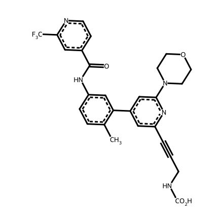 Cc1ccc(NC(=O)c2ccnc(C(F)(F)F)c2)cc1-c1cc(C#CCNC(=O)O)nc(N2CCOCC2)c1